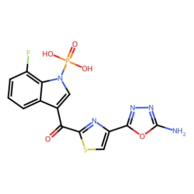 Nc1nnc(-c2csc(C(=O)c3cn(P(=O)(O)O)c4c(F)cccc34)n2)o1